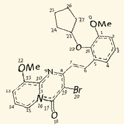 COc1cccc(/C=C/c2nc3c(OC)cccn3c(=O)c2Br)c1OC1CCCC1